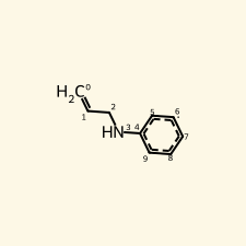 C=CCNc1c[c]ccc1